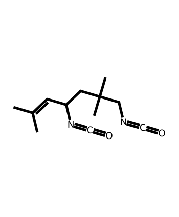 CC(C)=CC(CC(C)(C)CN=C=O)N=C=O